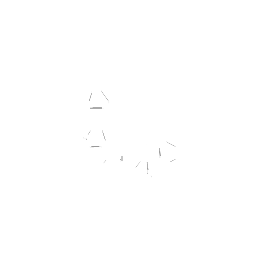 O=C(NCc1cc(-c2ccc(Cl)cc2Cl)no1)c1ccc(Oc2ccccc2)nc1